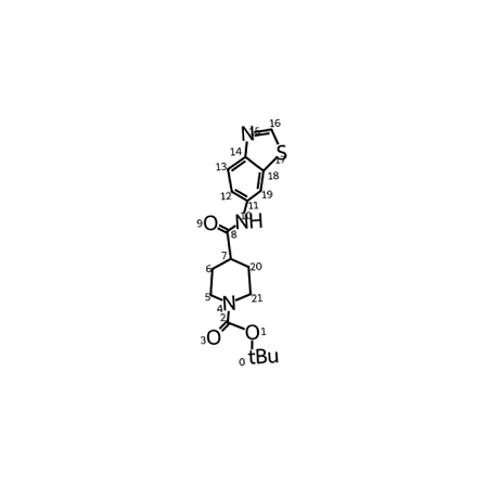 CC(C)(C)OC(=O)N1CCC(C(=O)Nc2ccc3ncsc3c2)CC1